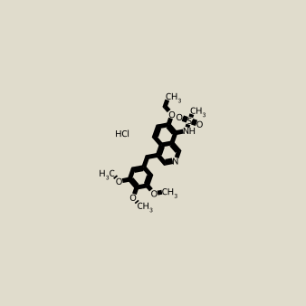 CCOc1ccc2c(Cc3cc(OC)c(OC)c(OC)c3)cncc2c1NS(C)(=O)=O.Cl